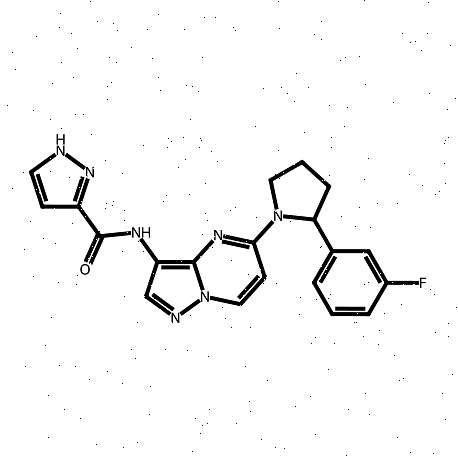 O=C(Nc1cnn2ccc(N3CCCC3c3cccc(F)c3)nc12)c1cc[nH]n1